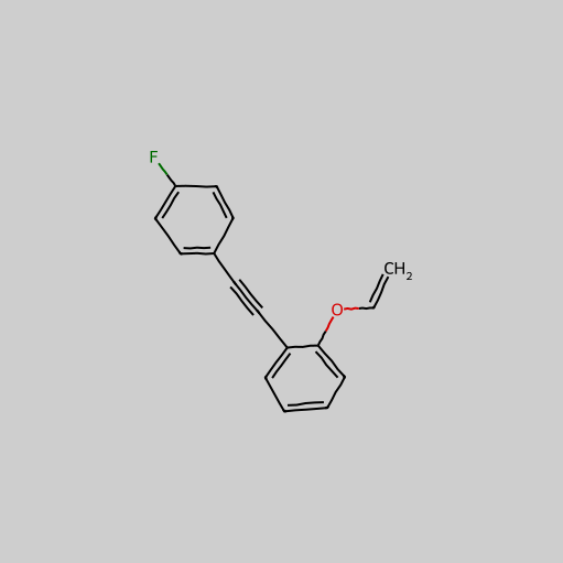 C=COc1ccccc1C#Cc1ccc(F)cc1